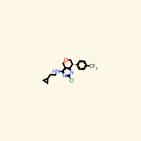 FC(F)(F)c1ccc([C@H]2COCc3c(NCCC4CC4)nc(Cl)nc32)cc1